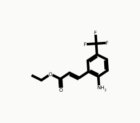 CCOC(=O)C=Cc1cc(C(F)(F)F)ccc1N